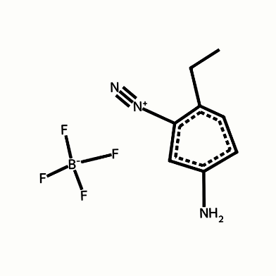 CCc1ccc(N)cc1[N+]#N.F[B-](F)(F)F